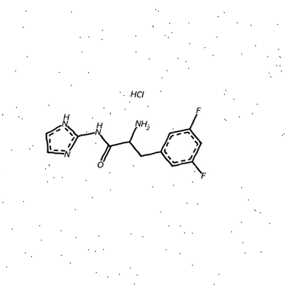 Cl.NC(Cc1cc(F)cc(F)c1)C(=O)Nc1ncc[nH]1